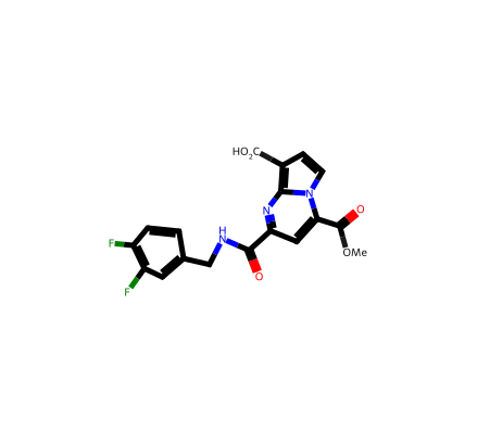 COC(=O)c1cc(C(=O)NCc2ccc(F)c(F)c2)nc2c(C(=O)O)ccn12